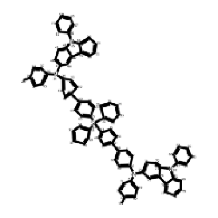 Cc1ccc(N(c2ccc(-c3ccc([Si](c4ccccc4)(c4ccccc4)c4ccc(-c5ccc(N(c6ccc(C)cc6)c6ccc7c(c6)c6ccccc6n7-c6ccccc6)cc5)cc4)cc3)cc2)c2ccc3c(c2)c2ccccc2n3-c2ccccc2)cc1